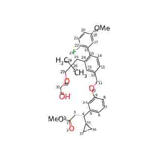 COC(=O)C[C@H](c1cccc(OCc2ccc(-c3cc(OC)ccc3F)c(CC(C)(C)COCO)c2)c1)C1CC1